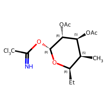 CC[C@H]1O[C@H](OC(=N)C(Cl)(Cl)Cl)[C@H](OC(C)=O)[C@@H](OC(C)=O)[C@H]1C